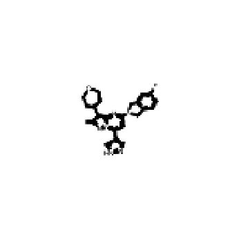 Cc1nn2c(-c3cn[nH]c3)cc(N3Cc4ccc(F)cc4C3)nc2c1C1CCOCC1